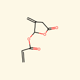 C=CC(=O)OC1OC(=O)CC1=C